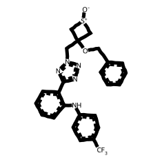 [O-][S+]1CC(Cn2nnc(-c3ccccc3Nc3ccc(C(F)(F)F)cc3)n2)(OCc2ccccc2)C1